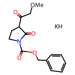 COCC(=O)C1CCN(C(=O)OCc2ccccc2)C1=O.[KH]